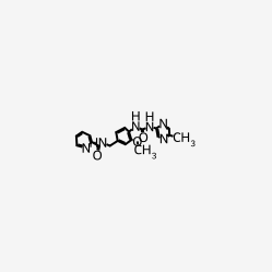 COc1cc(CNC(=O)c2ccccn2)ccc1NC(=O)Nc1cnc(C)cn1